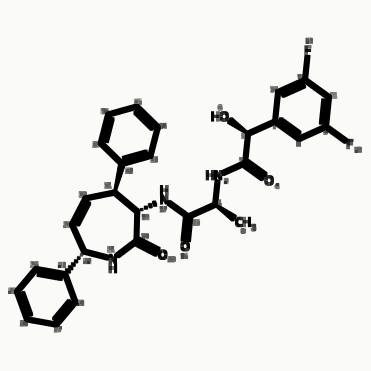 C[C@H](NC(=O)[C@@H](O)c1cc(F)cc(F)c1)C(=O)N[C@@H]1C(=O)N[C@H](c2ccccc2)C=C[C@H]1c1ccccc1